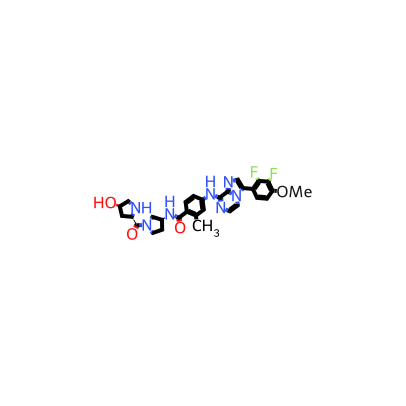 COc1ccc(-c2cnc3c(Nc4ccc(C(=O)N[C@@H]5CCN(C(=O)[C@@H]6C[C@@H](O)CN6)C5)c(C)c4)nccn23)c(F)c1F